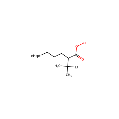 CCCCCCCCCCC(C(=O)OO)C(C)(C)CC